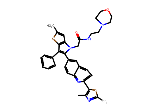 Cc1nc(C(F)(F)F)sc1-c1ccc2cc(-c3c(-c4ccccc4)c4sc(C(=O)O)cc4n3CC(=O)NCCN3CCOCC3)ccc2n1